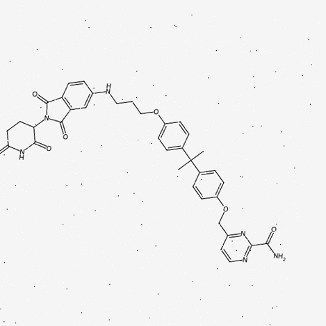 CC(C)(c1ccc(OCCCNc2ccc3c(c2)C(=O)N(C2CCC(=O)NC2=O)C3=O)cc1)c1ccc(OCc2ccnc(C(N)=O)n2)cc1